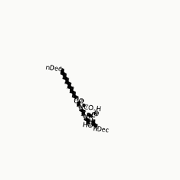 CCCCCCCCCCCCCCCCCCCCCCCOC(=O)CN(CCCN(CCCO)CC(=C=O)OCCCCCCCCCCCCC)CC(=O)O